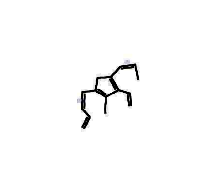 C=C/C=C\C1=C(C)C(C=C)=C(/C=C\C)C1